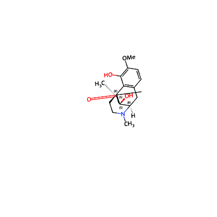 COc1ccc2c(c1O)[C@]13CCN(C)[C@H](C2)[C@]1(O)CCC(=O)[C@H]3C